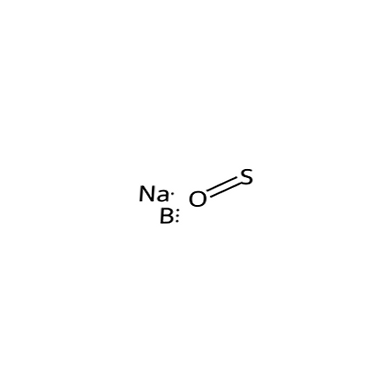 O=S.[B].[Na]